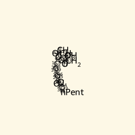 C=C(C)C(=O)OCC(COC(=O)C(=C)CO)Cc1ccc(-c2ccc(C(=O)OC3CCC(CCCCC)CC3)cc2)cc1